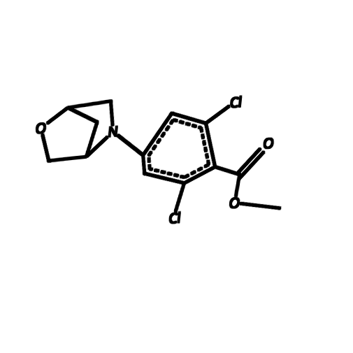 COC(=O)c1c(Cl)cc(N2CC3CC2CO3)cc1Cl